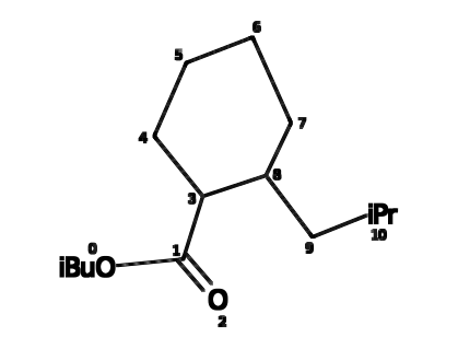 CC(C)COC(=O)C1CCCCC1CC(C)C